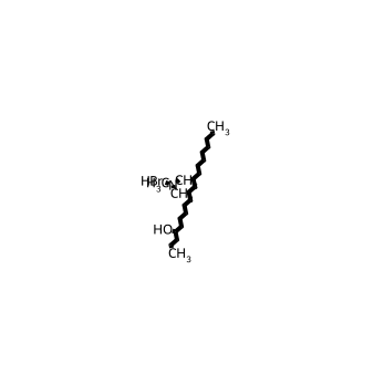 Br.CCCCCCCCCCCCCCCCC(O)CCC.CN(C)C